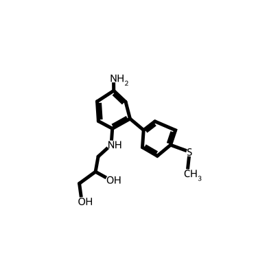 CSc1ccc(-c2cc(N)ccc2NCC(O)CO)cc1